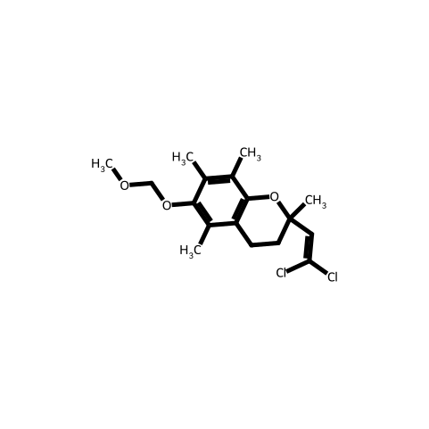 COCOc1c(C)c(C)c2c(c1C)CCC(C)(C=C(Cl)Cl)O2